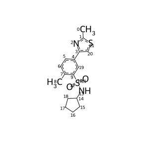 Cc1nc(-c2ccc(C)c(S(=O)(=O)NC3CCCC3)c2)cs1